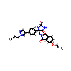 CCCn1cc(-c2ccc([C@]3(CN4Cc5ccc(OCC)cc5C4=O)NC(=O)NC3=O)cc2)cn1